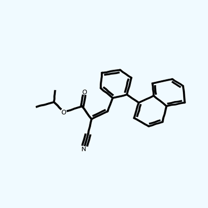 CC(C)OC(=O)C(C#N)=Cc1ccccc1-c1cccc2ccccc12